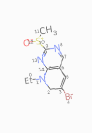 CCN1CC(Br)=Cc2cnc([S+](C)[O-])nc21